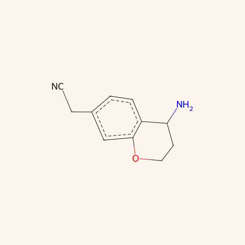 N#CCc1ccc2c(c1)OCCC2N